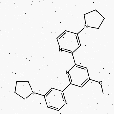 COc1cc(-c2cc(N3CCCC3)ccn2)nc(-c2cc(N3CCCC3)ccn2)c1